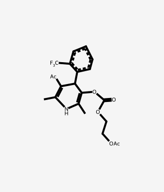 CC(=O)OCCOC(=O)OC1=C(C)NC(C)=C(C(C)=O)C1c1ccccc1C(F)(F)F